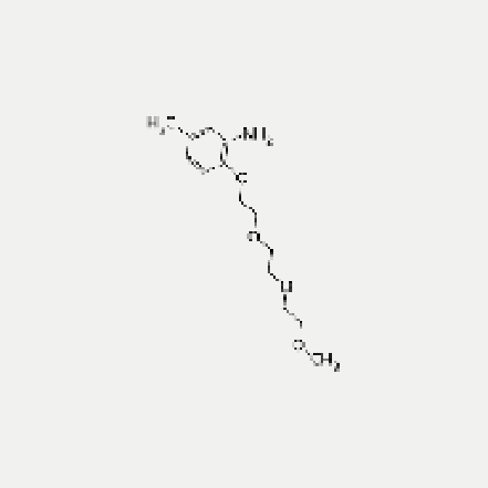 COCCOCCOCCOc1ccc(C)cc1N